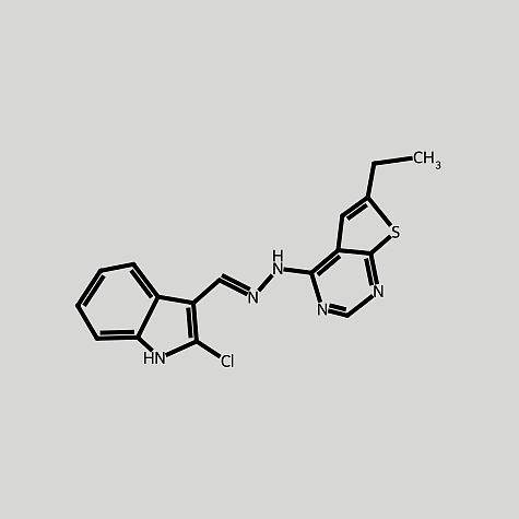 CCc1cc2c(NN=Cc3c(Cl)[nH]c4ccccc34)ncnc2s1